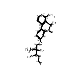 Cn1c(=O)c2c(N)nccc2c2ccc(OCC(N)(F)C(F)CCF)cc21